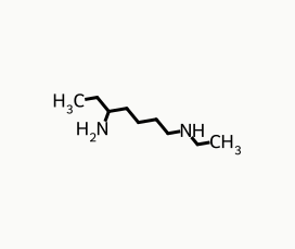 CCNCCCCC(N)CC